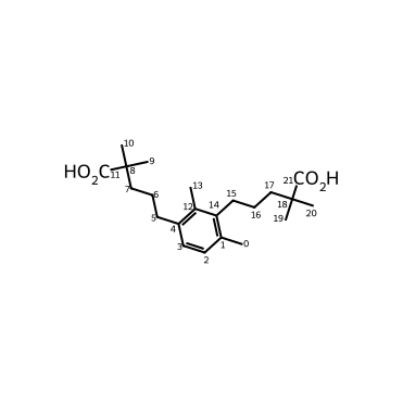 Cc1ccc(CCCC(C)(C)C(=O)O)c(C)c1CCCC(C)(C)C(=O)O